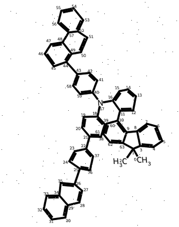 CC1(C)c2ccccc2-c2c(-c3ccccc3N(c3ccc(-c4ccc(-c5ccc6ccccc6c5)cc4)cc3)c3ccc(-c4cccc5c4ccc4ccccc45)cc3)cccc21